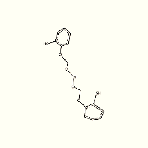 Sc1ccccc1OCOBOCOc1ccccc1S